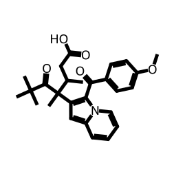 COc1ccc(C(=O)c2c(C(C)(C(=O)C(C)(C)C)C(C)CC(=O)O)cc3ccccn23)cc1